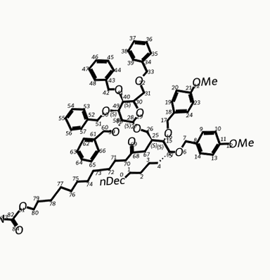 CCCCCCCCCCCCCC[C@@H](OCc1ccc(OC)cc1)[C@@H](OCc1ccc(OC)cc1)[C@H](CO[C@H]1OC(COCc2ccccc2)[C@H](OCc2ccccc2)[C@H](OCc2ccccc2)[C@H]1OCc1ccccc1)CC(=O)CCCCCCCCCCCOC(N)=O